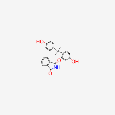 CC(C)(c1ccc(O)cc1)c1ccc(O)cc1.O=C1NC(=O)c2ccccc21